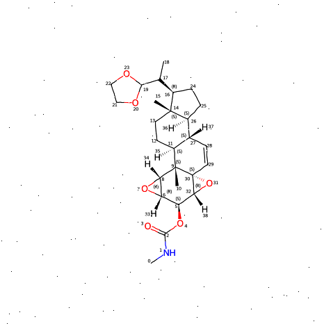 CNC(=O)O[C@H]1[C@@H]2O[C@@H]2[C@]2(C)[C@H]3CC[C@]4(C)[C@@H](C(C)C5OCCO5)CC[C@H]4[C@@H]3C=C[C@]23O[C@H]13